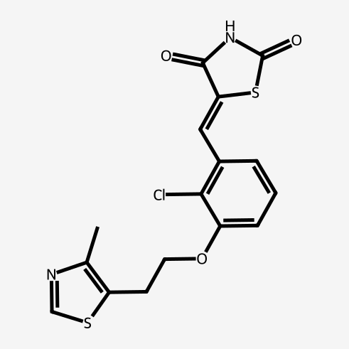 Cc1ncsc1CCOc1cccc(/C=C2\SC(=O)NC2=O)c1Cl